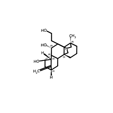 C=C1[C@H]2CC[C@]3(C(C2)[C@@]24CCC[C@@](C)(CN(CCO)C2)C4C[C@H]3O)[C@H]1O